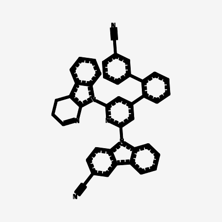 N#Cc1cccc(-c2ccccc2-c2cc(-n3c4c(c5ccccc53)CCC=N4)nc(-n3c4ccccc4c4cc(C#N)ccc43)c2)c1